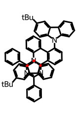 CC(C)(C)c1ccc2c(c1)c1ccccc1n2-c1ccccc1-c1c(-c2cc(-c3ccccc3)nc(-c3ccccc3)n2)cccc1-n1c2ccccc2c2cc(C(C)(C)C)ccc21